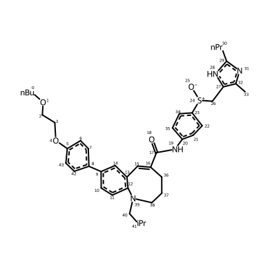 CCCCOCCOc1ccc(-c2ccc3c(c2)/C=C(/C(=O)Nc2ccc([S+]([O-])Cc4[nH]c(CCC)nc4C)cc2)CCCN3CC(C)C)cc1